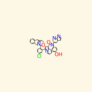 CC[C@@H]1Cc2ccccc2CN1C(=O)c1ccc(Cl)cc1-c1cc(C(=O)N(c2ccc(O)cc2)c2cnc3c(ccn3C)c2)c2ccccn12